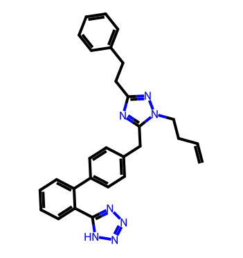 C=CCCn1nc(CCc2ccccc2)nc1Cc1ccc(-c2ccccc2-c2nnn[nH]2)cc1